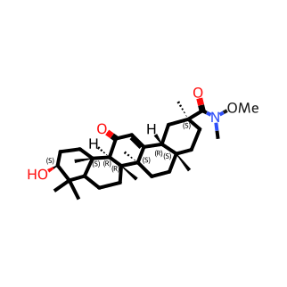 CON(C)C(=O)[C@@]1(C)CC[C@]2(C)CC[C@]3(C)C(=CC(=O)[C@@H]4[C@@]5(C)CC[C@H](O)C(C)(C)C5CC[C@]43C)[C@@H]2C1